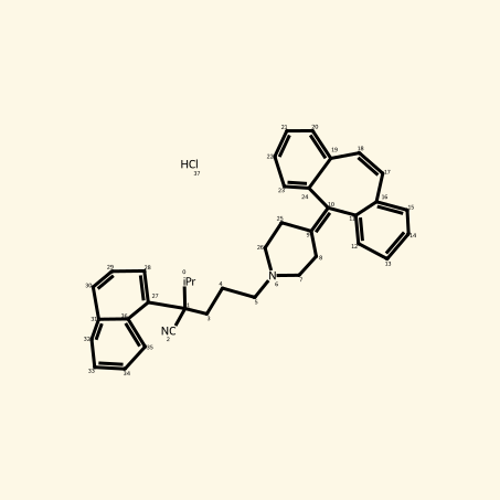 CC(C)C(C#N)(CCCN1CCC(=C2c3ccccc3C=Cc3ccccc32)CC1)c1cccc2ccccc12.Cl